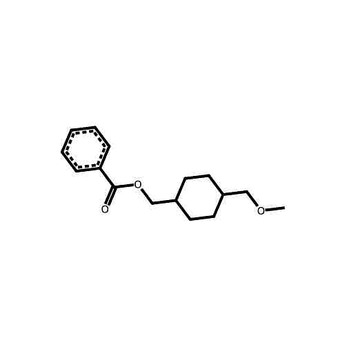 COCC1CCC(COC(=O)c2ccccc2)CC1